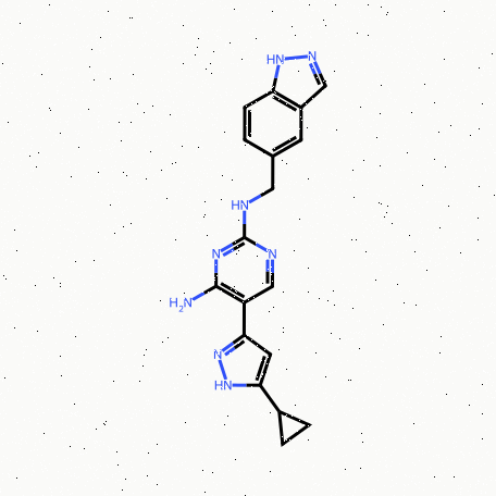 Nc1nc(NCc2ccc3[nH]ncc3c2)ncc1-c1cc(C2CC2)[nH]n1